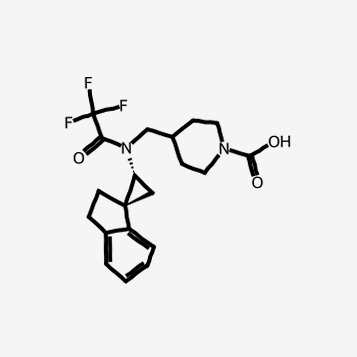 O=C(O)N1CCC(CN(C(=O)C(F)(F)F)[C@@H]2C[C@@]23CCc2ccccc23)CC1